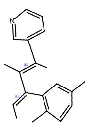 C/C=C(/C(C)=C(\C)c1cccnc1)c1cc(C)ccc1C